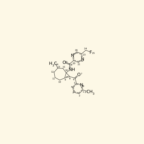 Cc1cccc(C(=O)C2=C3CCCC(C)CC32NC(=O)c2cnc(CF)cn2)n1